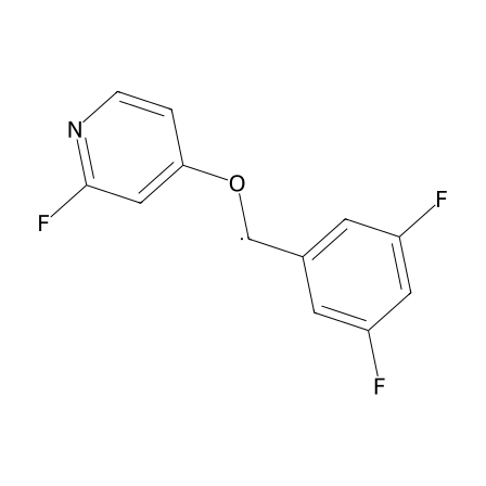 Fc1cc(F)cc([CH]Oc2ccnc(F)c2)c1